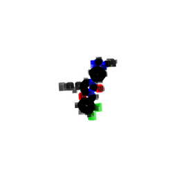 CCOC(=O)c1cn(-c2ccc3c(c2)ncn3C(C)C)c(=O)n(Cc2cccc(Cl)c2Cl)c1=O